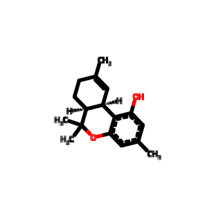 CC1=C[C@H]2c3c(O)cc(C)cc3OC(C)(C)[C@H]2CC1